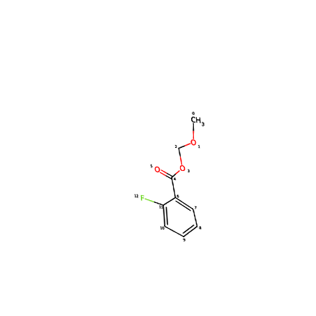 COCOC(=O)c1ccccc1F